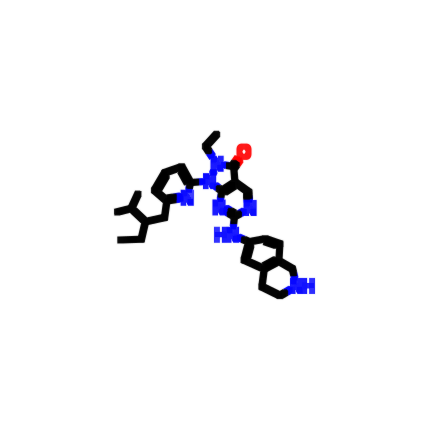 CCC(Cc1cccc(-n2c3nc(Nc4ccc5c(c4)CCNC5)ncc3c(=O)n2CC)n1)C(C)C